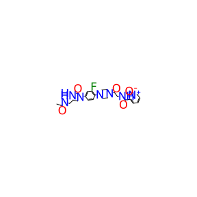 CC(=O)NCC1CN(c2ccc(N3CCN(C(=O)CNC(=O)c4cccc[n+]4[O-])CC3)c(F)c2)C(=O)N1